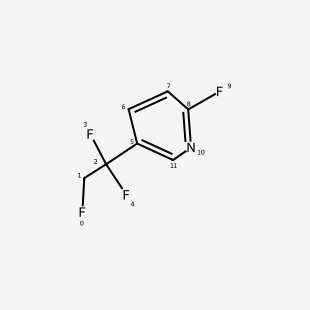 FCC(F)(F)c1ccc(F)nc1